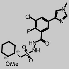 CO[C@@H]1CCCC[C@@H]1CS(=O)(=O)NNC(=O)c1cc(-c2cn(C)cn2)cc(Cl)c1F